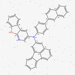 c1ccc2c(c1)-c1cccc3cc(N(c4ccc(-c5ccc6ccccc6c5)cc4)c4cnc5oc6ccccc6c5c4)cc-2c13